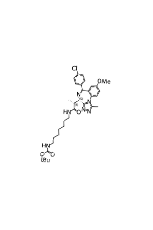 COc1ccc2c(c1)C(c1ccc(Cl)cc1)=N[C@@H]([C@@H](C)C(=O)NCCCCCCCNC(=O)OC(C)(C)C)c1nnc(C)n1-2